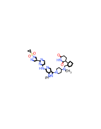 CC(C)n1nc(N2CCC(N(C)Cc3ccccc3C3CCC(=O)NC3=O)CC2)c2cnc(Nc3ccnc(-c4cnn(S(=O)(=O)C5CC5)c4)n3)cc21